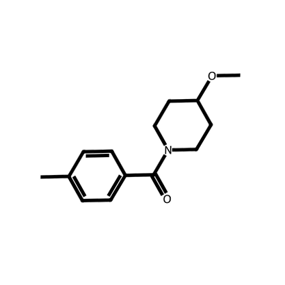 COC1CCN(C(=O)c2ccc(C)cc2)CC1